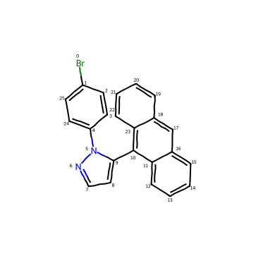 Brc1ccc(-n2nccc2-c2c3ccccc3cc3ccccc23)cc1